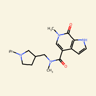 CC(C)N1CCC(CN(C)C(=O)c2cn(C)c(=O)c3[nH]ccc23)C1